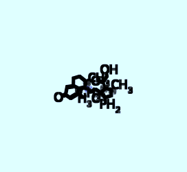 C[C@@H]1CC(P)[C@](C)(C/C=C2\[C@@H](C)CCC3=CC(=O)C=C[C@@]32C)[C@H]1C(=O)CO